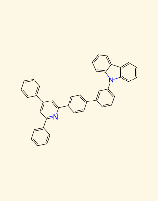 c1ccc(-c2cc(-c3ccccc3)nc(-c3ccc(-c4cccc(-n5c6ccccc6c6ccccc65)c4)cc3)c2)cc1